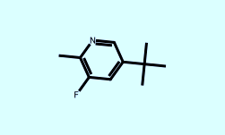 Cc1ncc(C(C)(C)C)cc1F